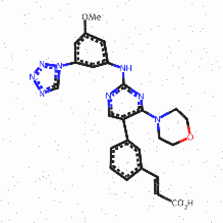 COc1cc(Nc2ncc(-c3cccc(/C=C/C(=O)O)c3)c(N3CCOCC3)n2)cc(-n2cnnn2)c1